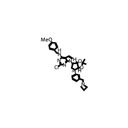 COc1ccc(CNc2nc(Cl)nc3c2ccn3[C@@H]2C[C@H](c3cccc(CN4CCC4)c3)[C@H]3OC(C)(C)O[C@H]32)cc1